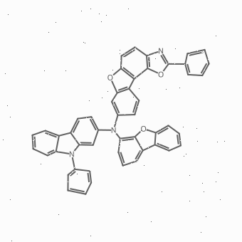 c1ccc(-c2nc3ccc4oc5cc(N(c6ccc7c8ccccc8n(-c8ccccc8)c7c6)c6cccc7c6oc6ccccc67)ccc5c4c3o2)cc1